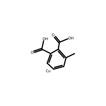 Cc1cccc(C(=O)O)c1C(=O)O.[Cu]